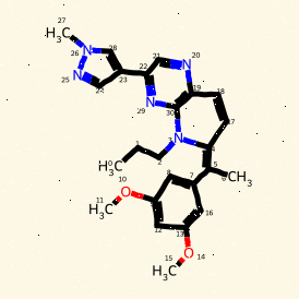 CCCN1/C(=C(/C)c2cc(OC)cc(OC)c2)C=Cc2ncc(-c3cnn(C)c3)nc21